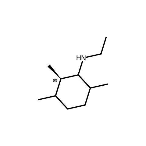 CCNC1C(C)CCC(C)[C@H]1C